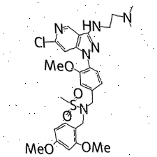 COc1ccc(CN(Cc2ccc(-n3nc(NCCN(C)C)c4cnc(Cl)cc43)c(OC)c2)S(C)(=O)=O)c(OC)c1